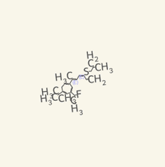 C=C/C(=C\C=C(/C)C1=CCC(C(C)(C)C)=CC(C(C)F)=C1)SCC(=C)C